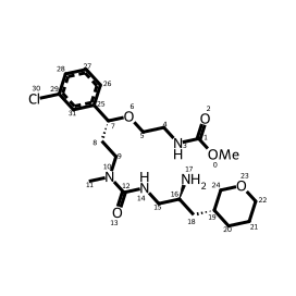 COC(=O)NCCO[C@H](CCN(C)C(=O)NC[C@@H](N)C[C@H]1CCCOC1)c1cccc(Cl)c1